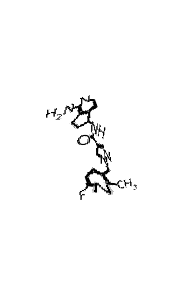 Cc1nc(F)ccc1Cn1cc(C(=O)NC2CCc3c2ccnc3N)cn1